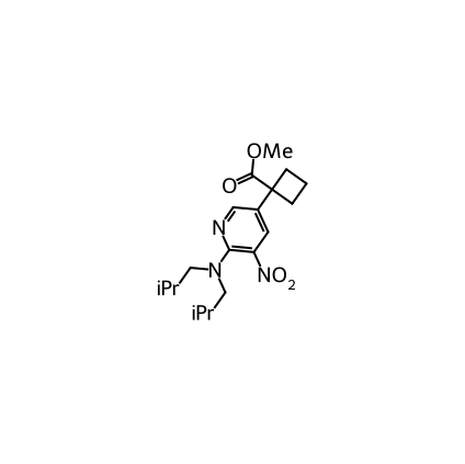 COC(=O)C1(c2cnc(N(CC(C)C)CC(C)C)c([N+](=O)[O-])c2)CCC1